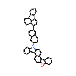 c1ccc2c(c1)-c1cccc3c(-c4ccc5cc(-n6c7ccccc7c7c8ccc9oc%10ccccc%10c9c8ccc76)ccc5c4)ccc-2c13